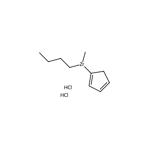 CCC[CH2][Zr]([CH3])[C]1=CC=CC1.Cl.Cl